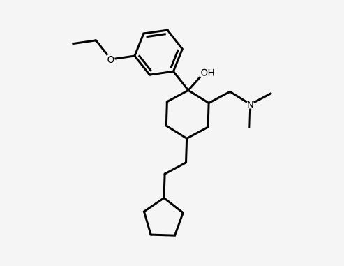 CCOc1cccc(C2(O)CCC(CCC3CCCC3)CC2CN(C)C)c1